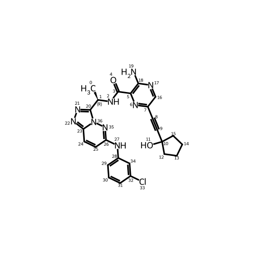 C[C@@H](NC(=O)c1nc(C#CC2(O)CCCC2)cnc1N)c1nnc2ccc(Nc3cccc(Cl)c3)nn12